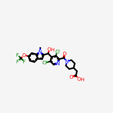 Cn1c(C(O)c2c(Cl)cnc(C(=O)N3CCC(CC(=O)O)CC3)c2Cl)cc2ccc(OC(F)(F)F)cc21